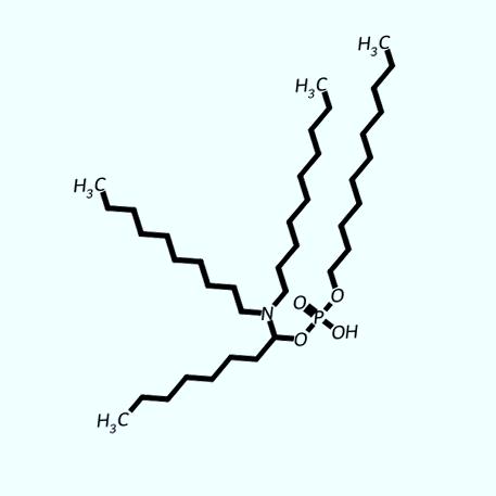 CCCCCCCCCCCOP(=O)(O)OC(CCCCCCC)N(CCCCCCCCCC)CCCCCCCCCC